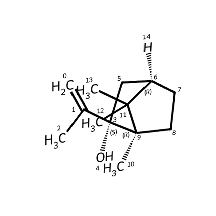 C=C(C)[C@@]1(O)C[C@H]2CC[C@]1(C)C2(C)C